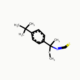 CCC(C)(N=C=S)c1ccc(C(C)(C)C)cc1